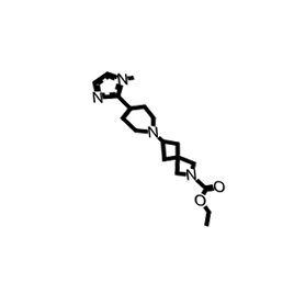 CCOC(=O)N1CC2(CC(N3CCC(c4nccn4C)CC3)C2)C1